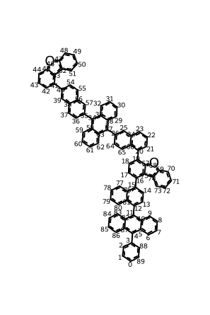 c1ccc(-c2c3ccccc3c(-c3ccc(-c4ccc(-c5cccc6cc(-c7c8ccccc8c(-c8ccc9cc(-c%10cccc%11oc%12ccccc%12c%10%11)ccc9c8)c8ccccc78)ccc56)c5oc6ccccc6c45)c4ccccc34)c3ccccc23)cc1